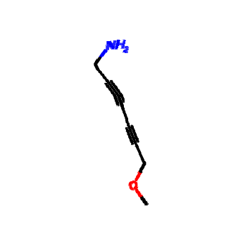 COCC#CC#CCN